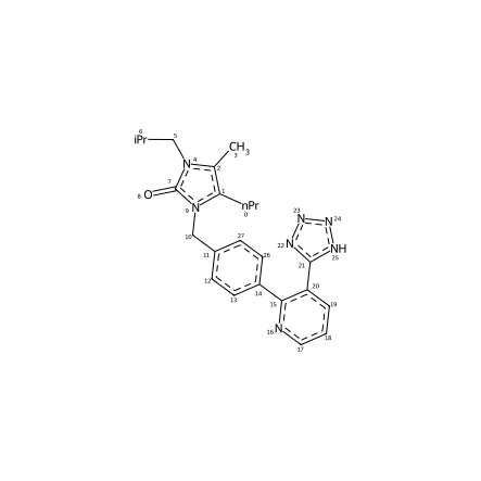 CCCc1c(C)n(CC(C)C)c(=O)n1Cc1ccc(-c2ncccc2-c2nnn[nH]2)cc1